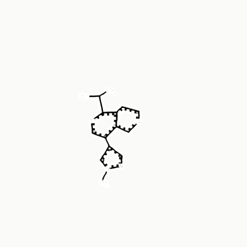 CC(C)c1ncc(-c2cnn(C)c2)c2cnccc12